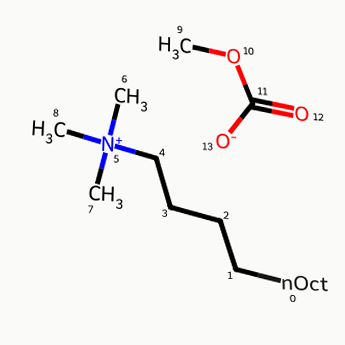 CCCCCCCCCCCC[N+](C)(C)C.COC(=O)[O-]